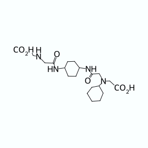 O=C(O)CNCC(=O)NC1CCC(NC(=O)CN(CC(=O)O)C2CCCCC2)CC1